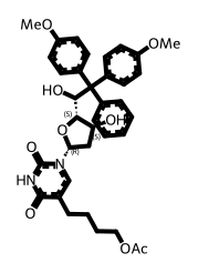 COc1ccc(C(c2ccccc2)(c2ccc(OC)cc2)C(O)[C@H]2O[C@@H](n3cc(CCCCOC(C)=O)c(=O)[nH]c3=O)C[C@@H]2O)cc1